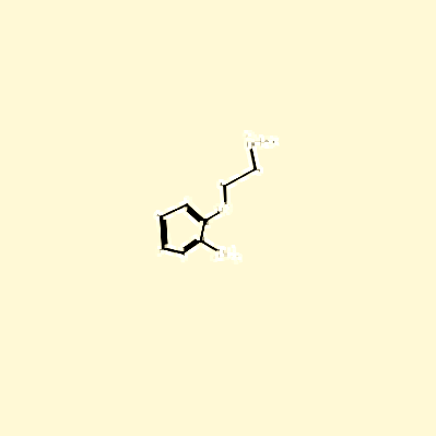 Bc1ccccc1OCCCCCCCC